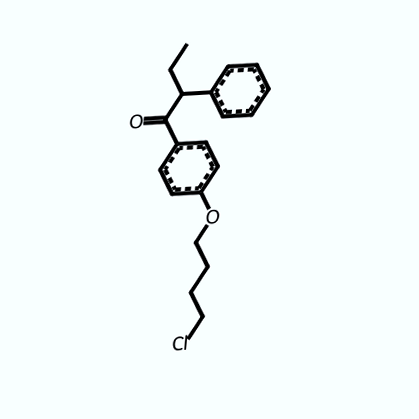 CCC(C(=O)c1ccc(OCCCCCl)cc1)c1ccccc1